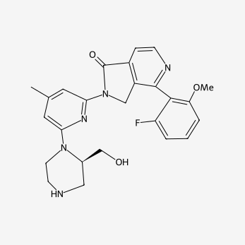 COc1cccc(F)c1-c1nccc2c1CN(c1cc(C)cc(N3CCNC[C@@H]3CO)n1)C2=O